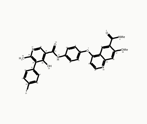 CNC(=O)c1cc2c(Oc3ccc(NC(=O)c4cnc(C)c(-c5ccc(F)cc5)c4O)cc3)ccnc2cc1OC